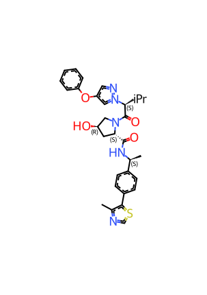 Cc1ncsc1-c1ccc([C@H](C)NC(=O)[C@@H]2C[C@@H](O)CN2C(=O)[C@H](C(C)C)n2cc(Oc3ccccc3)cn2)cc1